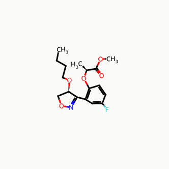 CCCCO[C@@H]1CON=C1c1cc(F)ccc1O[C@@H](C)C(=O)OC